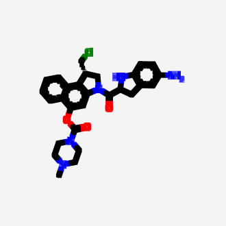 CN1CCN(C(=O)Oc2cc3c(c4ccccc24)[C@H](CCl)CN3C(=O)C2Cc3cc(N)ccc3N2)CC1